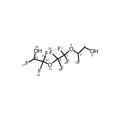 OCC(F)OC(F)(F)C(F)(F)OC(F)(F)C(O)F